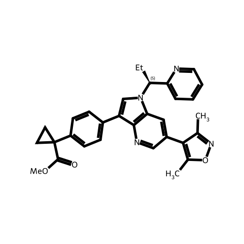 CC[C@@H](c1ccccn1)n1cc(-c2ccc(C3(C(=O)OC)CC3)cc2)c2ncc(-c3c(C)noc3C)cc21